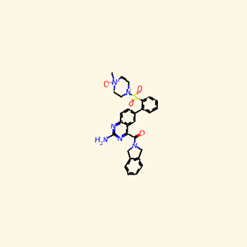 C[N+]1([O-])CCN(S(=O)(=O)c2ccccc2-c2ccc3nc(N)nc(C(=O)N4Cc5ccccc5C4)c3c2)CC1